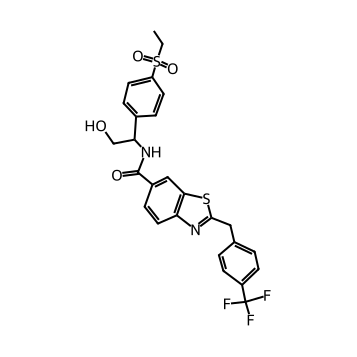 CCS(=O)(=O)c1ccc(C(CO)NC(=O)c2ccc3nc(Cc4ccc(C(F)(F)F)cc4)sc3c2)cc1